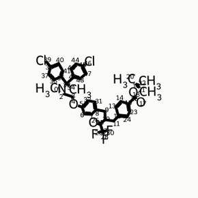 CN(CCOc1ccc(CC(Cc2ccc(C(=O)OC(C)(C)C)cc2)C(=O)C(F)(F)F)cc1)C(C)(c1ccc(Cl)cc1)c1ccc(Cl)cc1